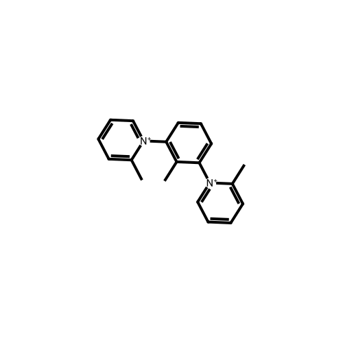 Cc1c(-[n+]2ccccc2C)cccc1-[n+]1ccccc1C